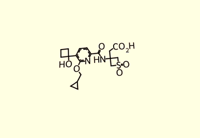 O=C(O)CC1(NC(=O)c2ccc(C3(O)CCC3)c(OCC3CC3)n2)CS(=O)(=O)C1